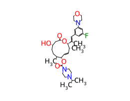 C/C(=C\c1cc(F)cc(N2CCOCC2)c1)[C@@H]1OC(=O)C[C@@H](O)CC[C@H](C)C(OC(=O)N2CCN(C(C)C)CC2)/C=C/[C@H]1C